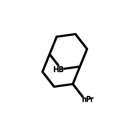 CCCC1CCC2BC1CCC2